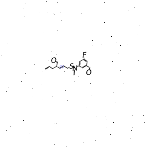 C=CCC(C=O)/C=C/CSN(I)c1cc(F)cc(C=O)c1